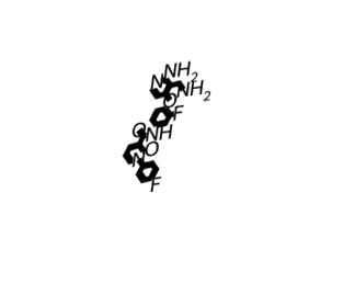 NCc1c(Oc2ccc(NC(=O)c3cccn(-c4ccc(F)cc4)c3=O)cc2F)ccnc1N